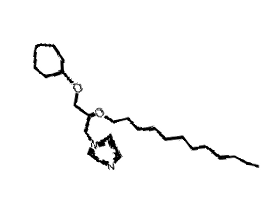 CCCCCCCCCCCCOC(COC1CCCCC1)Cn1ccnc1